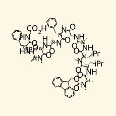 CC(C)C[C@H](NC(=O)[C@H](C)N(C)C(=O)[C@H](Cc1ccccc1)N(C)C(=O)CNC(=O)[C@H](C)NC(=O)[C@H](CC(C)C)N(C)C(=O)[C@H](CC(C)C)NC(=O)[C@H](C)N(C)C(=O)OCC1c2ccccc2-c2ccccc21)C(=O)N(C)[C@@H](C)C(=O)N[C@@H](Cc1ccccc1)C(=O)NCC(=O)O